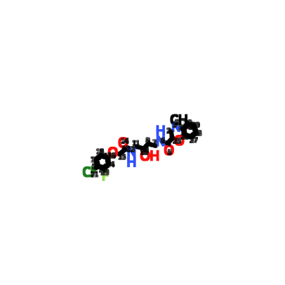 CN1CC(C(=O)NCC[C@H](O)CNC(=O)COc2ccc(Cl)c(F)c2)Oc2ccccc21